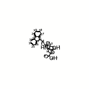 CC(C)(C)[C@@](CCC(=O)O)(NC(=O)OCC1c2ccccc2-c2ccccc21)C(=O)O